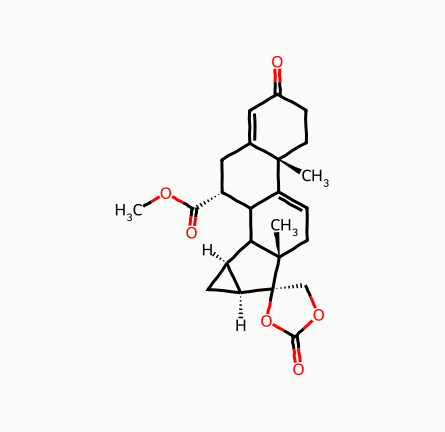 COC(=O)[C@@H]1CC2=CC(=O)CC[C@]2(C)C2=CC[C@@]3(C)C(C21)[C@@H]1C[C@@H]1[C@@]31COC(=O)O1